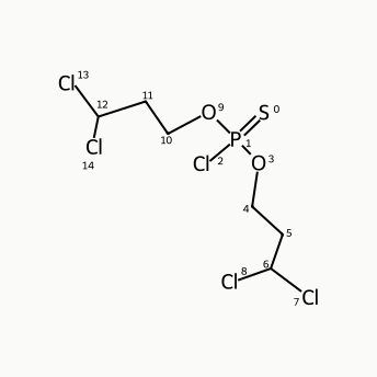 S=P(Cl)(OCCC(Cl)Cl)OCCC(Cl)Cl